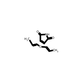 CC=COC=CC.O=C1C=CC(=O)N1